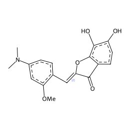 COc1cc(N(C)C)ccc1/C=C1\Oc2c(ccc(O)c2O)C1=O